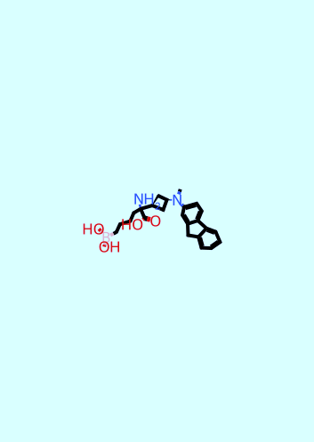 CN(c1ccc2c(c1)Cc1ccccc1-2)[C@H]1C[C@H]([C@@](N)(CCCCB(O)O)C(=O)O)C1